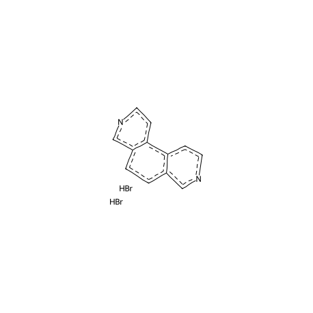 Br.Br.c1cc2c(ccc3cnccc32)cn1